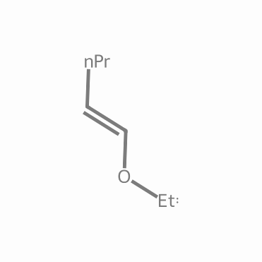 C[C]OC=CCCC